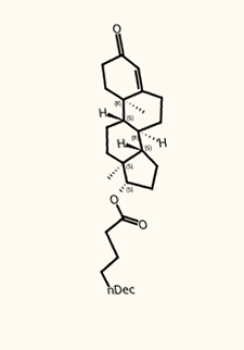 CCCCCCCCCCCCCC(=O)O[C@H]1CC[C@H]2[C@@H]3CCC4=CC(=O)CC[C@]4(C)[C@H]3CC[C@]12C